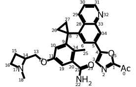 CC(=O)c1ncc(-c2cc(C3(c4cc(OCC5CCN5C)cc(C(N)=O)c4C)CC3)c3cccnc3c2)o1